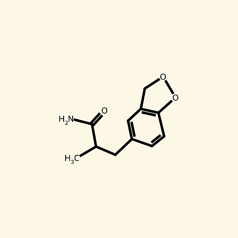 CC(Cc1ccc2c(c1)COO2)C(N)=O